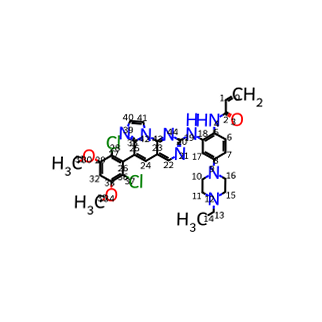 C=CC(=O)Nc1ccc(N2CCN(CC)CC2)cc1Nc1ncc2cc(-c3c(Cl)c(OC)cc(OC)c3Cl)c3nccn3c2n1